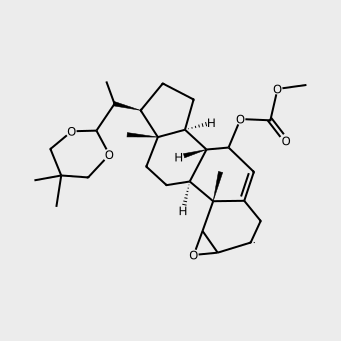 COC(=O)OC1C=C2C[CH]C3OC3[C@]2(C)[C@H]2CC[C@]3(C)[C@@H](C(C)C4OCC(C)(C)CO4)CC[C@H]3[C@H]12